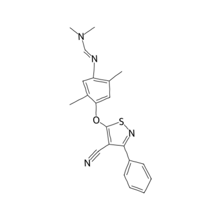 Cc1cc(Oc2snc(-c3ccccc3)c2C#N)c(C)cc1N=CN(C)C